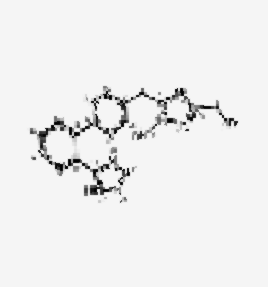 CCCn1nc(CC(C)C)nc1Cc1ccc(-c2ccncc2-c2nnn[nH]2)cc1